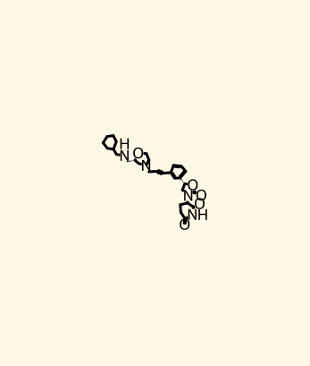 O=C1CCC(N2C[C@H](c3cccc(C#CCN4CCO[C@@H](CNCC5CCCCC5)C4)c3)OC2=O)C(=O)N1